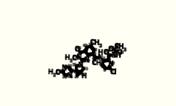 Cc1cc([C@@H](C)Nc2ccc(Cl)nc2C(=O)NS(C)(=O)=O)c2nc(N3C[C@H]4C[C@]4(c4cnc(C)cn4)C3)n(C)c(=O)c2c1